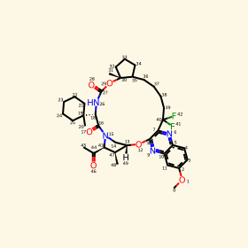 COc1ccc2nc3c(nc2c1)O[C@H]1CN(C(=O)[C@H](C2(C)CCCCC2)NC(=O)O[C@]2(C)CCCC2CCCCC3(F)F)[C@H](C(C)=O)[C@@H]1C